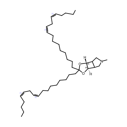 CCCC/C=C\C/C=C\CCCCCCCCC1(CCCCCCCC/C=C\C/C=C\CCCC)O[C@@H]2C3CN(C)CC3[C@H]2O1